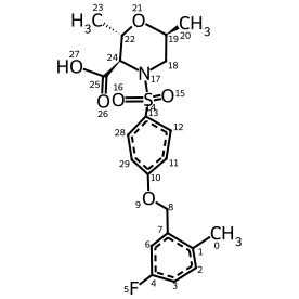 Cc1ccc(F)cc1COc1ccc(S(=O)(=O)N2C[C@H](C)O[C@@H](C)[C@@H]2C(=O)O)cc1